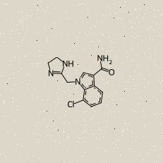 NC(=O)c1cn(CC2=NCCN2)c2c(Cl)cccc12